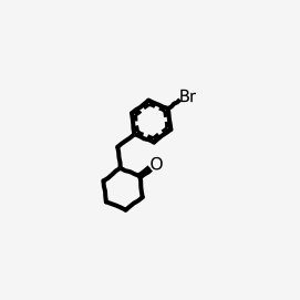 O=C1CCCCC1Cc1ccc(Br)cc1